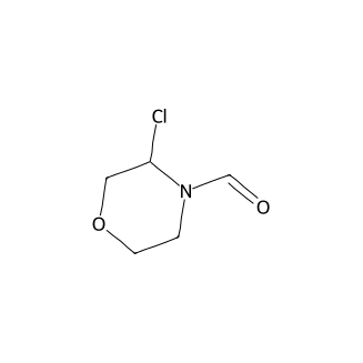 O=CN1CCOCC1Cl